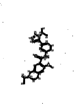 COc1cc2c(cc1C(=O)Nc1cccc(-c3nnnn3C(C)C)n1)CN(C(C)C)CC2